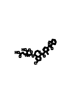 Cc1ccccc1C(=O)Nc1ccc(C(=O)N2CCCC(OC(=O)NC(CCC(=O)O)C(=O)O)c3cc(Cl)ccc32)c(C)c1